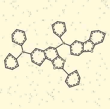 c1ccc(-c2nc3c(N(c4ccccc4)c4ccc5oc6ccccc6c5c4)cc4cc(N(c5ccccc5)c5ccccc5)ccc4c3o2)cc1